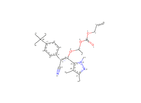 C=CCOC(=O)OC(C)O/C(=C(/C#N)c1ccc(C(C)(C)C)cc1)c1c(C)c(C)nn1C